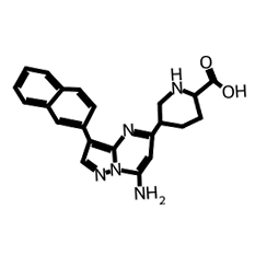 Nc1cc(C2CCC(C(=O)O)NC2)nc2c(-c3ccc4ccccc4c3)cnn12